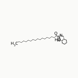 CCCCCCCCCCCCCCCCCC(=O)N/N=C\c1ccccc1O